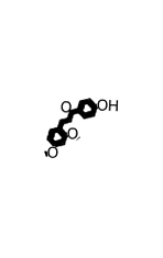 COc1ccc(CCC(=O)c2ccc(O)cc2)c(OC)c1